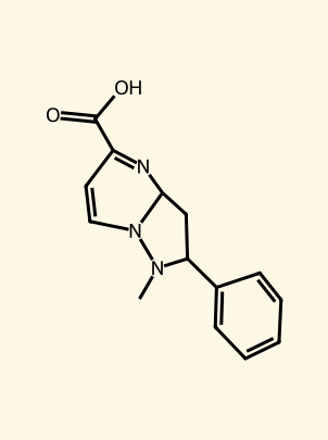 CN1C(c2ccccc2)CC2N=C(C(=O)O)C=CN21